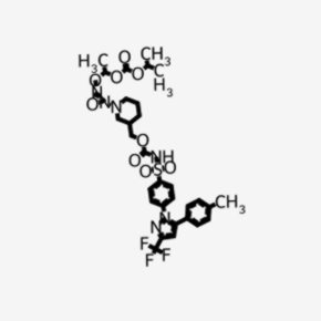 Cc1ccc(-c2cc(C(F)(F)F)nn2-c2ccc(S(=O)(=O)NC(=O)OCC3CCCN(n4on4OC(C)OC(=O)OC(C)C)C3)cc2)cc1